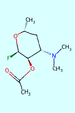 CC(=O)O[C@H]1[C@@H](F)O[C@H](C)C[C@@H]1N(C)C